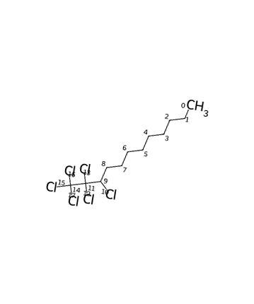 CCCCCCCCCC(Cl)C(Cl)(Cl)C(Cl)(Cl)Cl